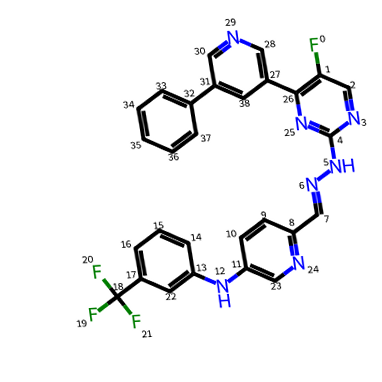 Fc1cnc(N/N=C/c2ccc(Nc3cccc(C(F)(F)F)c3)cn2)nc1-c1cncc(-c2ccccc2)c1